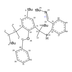 CCCCC(C)C(C)(C)c1cc(C(C)(C)C)cc(C(C)(CCCC)Pc2ccccc2/C=N/C(C)(C)C)c1OCc1ccccc1